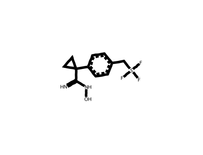 N=C(NO)C1(c2ccc(CS(F)(F)F)cc2)CC1